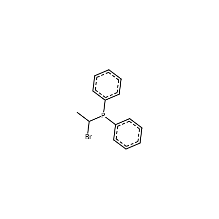 CC(Br)P(c1ccccc1)c1ccccc1